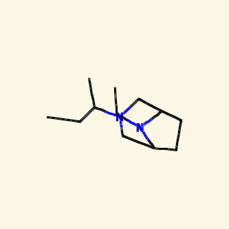 CCC(C)N1CC2CCC(C1)N2CC